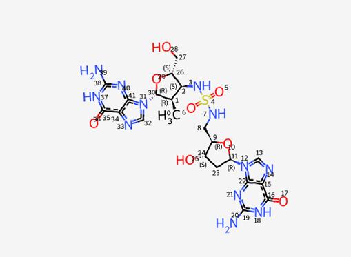 C[C@@H]1[C@H](NS(=O)(=O)NC[C@H]2O[C@@H](n3cnc4c(=O)[nH]c(N)nc43)C[C@@H]2O)[C@@H](CO)O[C@H]1n1cnc2c(=O)[nH]c(N)nc21